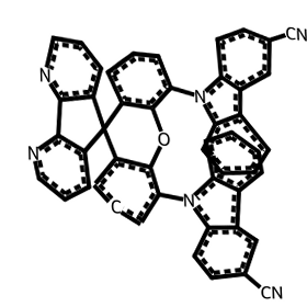 N#Cc1ccc2c(c1)c1ccccc1n2-c1cccc2c1Oc1c(-n3c4ccccc4c4cc(C#N)ccc43)cccc1C21c2cccnc2-c2ncccc21